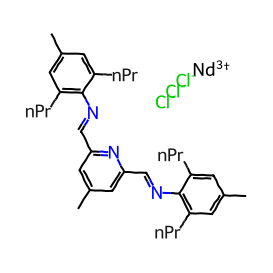 CCCc1cc(C)cc(CCC)c1N=Cc1cc(C)cc(C=Nc2c(CCC)cc(C)cc2CCC)n1.[Cl-].[Cl-].[Cl-].[Nd+3]